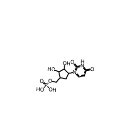 O=c1ccn(C2CC(COP(=O)(O)O)C(O)C2O)c(=O)[nH]1